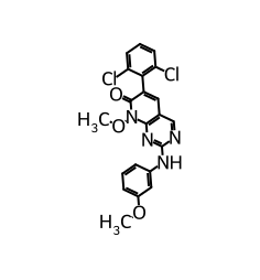 COc1cccc(Nc2ncc3cc(-c4c(Cl)cccc4Cl)c(=O)n(OC)c3n2)c1